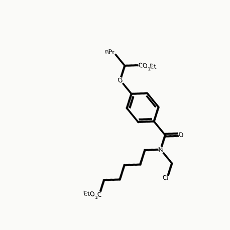 CCCC(Oc1ccc(C(=O)N(CCl)CCCCCC(=O)OCC)cc1)C(=O)OCC